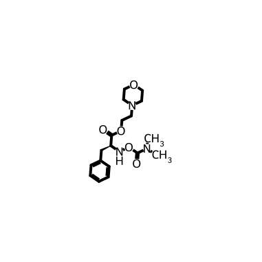 CN(C)C(=O)ON[C@@H](Cc1ccccc1)C(=O)OCCN1CCOCC1